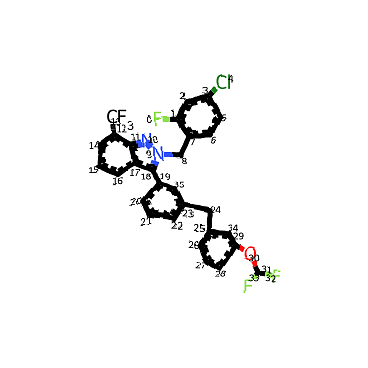 Fc1cc(Cl)ccc1Cn1nc2c(C(F)(F)F)cccc2c1-c1cccc(Cc2cccc(OC(F)F)c2)c1